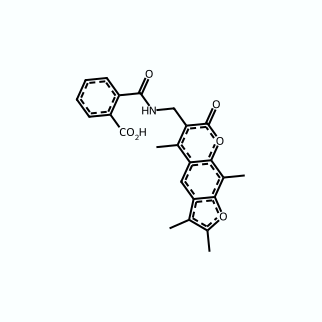 Cc1oc2c(C)c3oc(=O)c(CNC(=O)c4ccccc4C(=O)O)c(C)c3cc2c1C